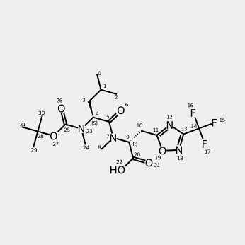 CC(C)C[C@@H](C(=O)N(C)[C@H](Cc1nc(C(F)(F)F)no1)C(=O)O)N(C)C(=O)OC(C)(C)C